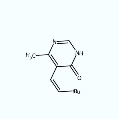 CCC(C)/C=C\c1c(C)nc[nH]c1=O